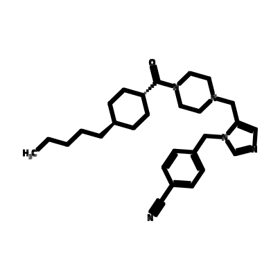 CCCCC[C@H]1CC[C@H](C(=O)N2CCN(Cc3cncn3Cc3ccc(C#N)cc3)CC2)CC1